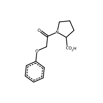 O=C(O)C1CCCN1C(=O)COc1ccccc1